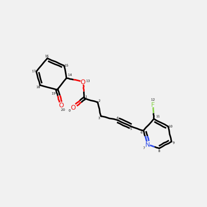 O=C(CCC#Cc1ncccc1F)OC1C=CC=CC1=O